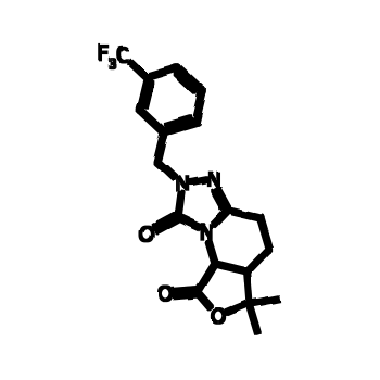 CC1(C)OC(=O)C2C1CCc1nn(Cc3cccc(C(F)(F)F)c3)c(=O)n12